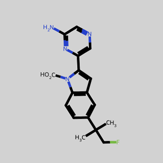 CC(C)(CF)c1ccc2c(c1)cc(-c1cncc(N)n1)n2C(=O)O